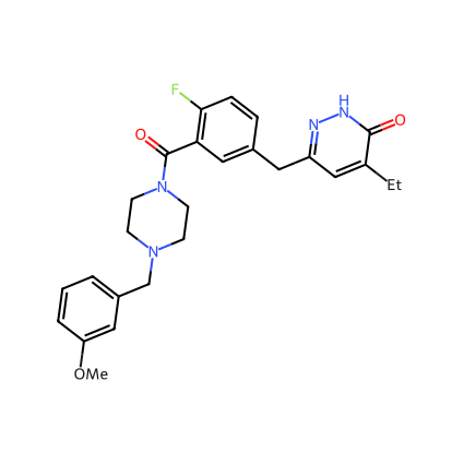 CCc1cc(Cc2ccc(F)c(C(=O)N3CCN(Cc4cccc(OC)c4)CC3)c2)n[nH]c1=O